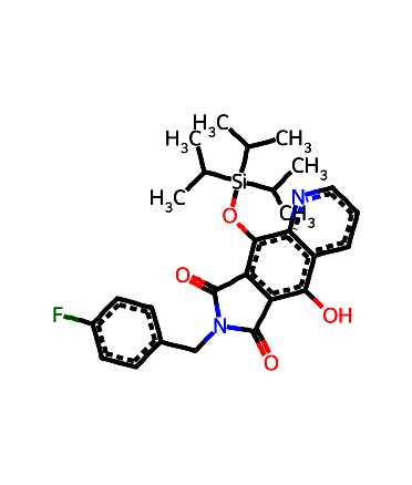 CC(C)[Si](Oc1c2c(c(O)c3cccnc13)C(=O)N(Cc1ccc(F)cc1)C2=O)(C(C)C)C(C)C